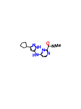 CNC(=O)c1nccc(Nc2cc(C3CCCC3)n[nH]2)n1